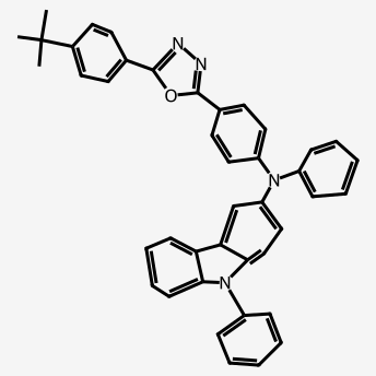 CC(C)(C)c1ccc(-c2nnc(-c3ccc(N(c4ccccc4)c4ccc5c(c4)c4ccccc4n5-c4ccccc4)cc3)o2)cc1